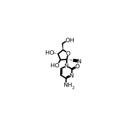 N#C[C@@]1(n2ccc(N)nc2=O)O[C@H](CO)[C@@H](O)C1O